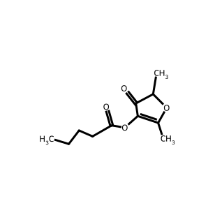 CCCCC(=O)OC1=C(C)OC(C)C1=O